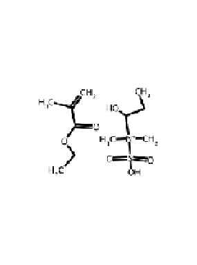 C=C(C)C(=O)OCC.CCC(O)[N+](C)(C)S(=O)(=O)O